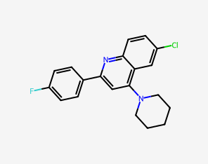 Fc1ccc(-c2cc(N3CCCCC3)c3cc(Cl)ccc3n2)cc1